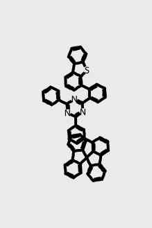 c1ccc(-c2nc(-c3cccc(-c4cccc5c4C4(c6ccccc6-c6ccccc64)c4ccccc4-5)c3)nc(-c3ccccc3-c3cccc4c3sc3ccccc34)n2)cc1